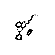 CCCCCCCC(OC(=O)c1ccccc1)c1ccccc1S.c1cc2ccc1-2